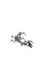 COc1cc(C)c(S(=O)(=O)N(C)CCOCC(=O)N2CCC(N(C)C3CC4CCC(C3)N4C)CC2)c(C)c1